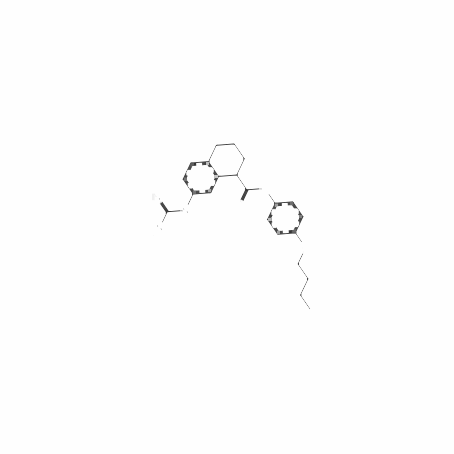 CCCCOc1ccc(OC(=O)C2CCCc3ccc(NC(=N)N)cc32)cc1